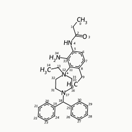 CCC(=O)Nc1ccc(CC)c([N+]2(CC)CCN(C(c3ccccc3)c3ccccc3)CC2)c1N